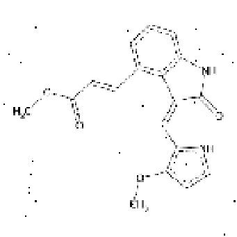 COC(=O)C=Cc1cccc2c1C(=Cc1[nH]ccc1OC)C(=O)N2